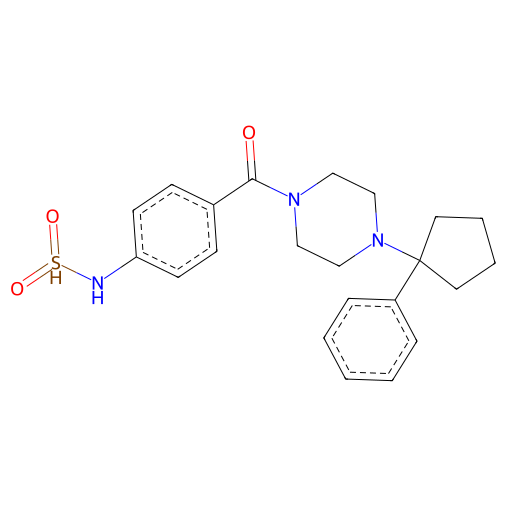 O=C(c1ccc(N[SH](=O)=O)cc1)N1CCN(C2(c3ccccc3)CCCC2)CC1